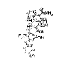 CC(C)C1CCN(Cc2cc(O)c3c(c2C(F)(F)F)C[C@H]2C[C@H]4[C@H](N(C)C)C(O)=C(C(N)=O)C(=O)[C@@]4(O)C(O)=C2C3=O)CC1